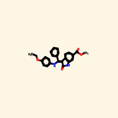 CCOc1ccc(N/C(=C2\C(=O)Nc3cc(C(=O)OC)ccc32)c2ccccc2)cc1